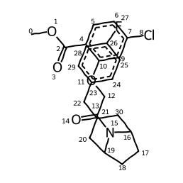 COC(=O)c1ccc(Cl)cc1OCC(=O)N1C2CCC1CC(Cc1ccc(F)cc1)C2